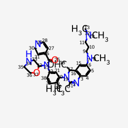 CC1=Nc2ccc(N(C)CCCN(C)C)cc2C(C=O)N1c1cc(N(C(=O)c2ccncc2)C2CNCCO2)ccc1C